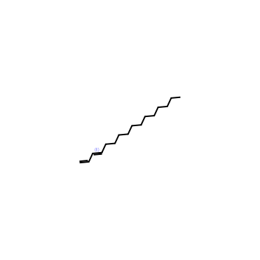 C=C/C=C/CCCCCCCCCCCC